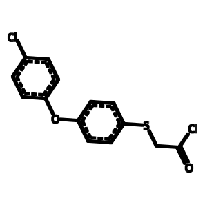 O=C(Cl)CSc1ccc(Oc2ccc(Cl)cc2)cc1